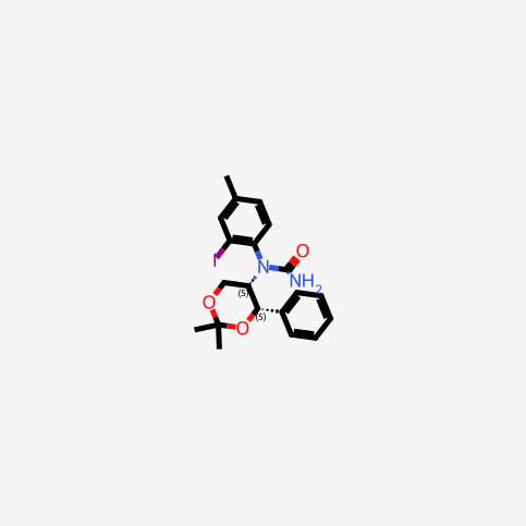 Cc1ccc(N(C(N)=O)[C@H]2COC(C)(C)O[C@H]2c2ccccc2)c(I)c1